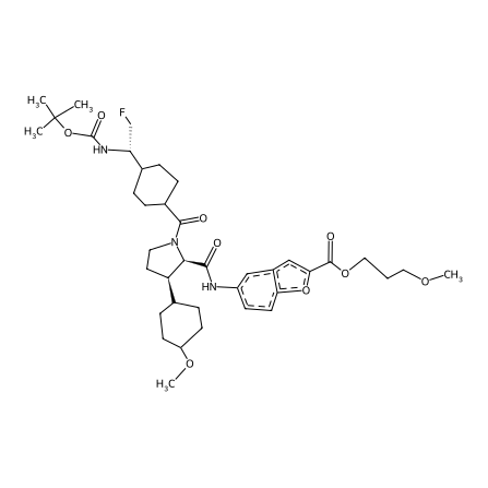 COCCCOC(=O)c1cc2cc(NC(=O)[C@H]3[C@@H](C4CCC(OC)CC4)CCN3C(=O)C3CCC([C@@H](CF)NC(=O)OC(C)(C)C)CC3)ccc2o1